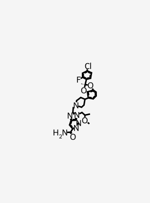 COC(C)Cn1c(CN2CCC(c3cccc4c3O[C@@](C)(c3ccc(Cl)cc3F)O4)CC2)nc2cc(C(N)=O)nnc21